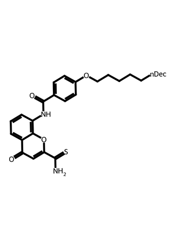 CCCCCCCCCCCCCCCOc1ccc(C(=O)Nc2cccc3c(=O)cc(C(N)=S)oc23)cc1